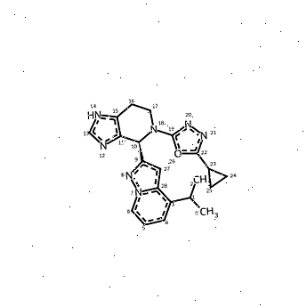 CC(C)c1cccn2nc([C@H]3c4nc[nH]c4CCN3c3nnc(C4CC4)o3)cc12